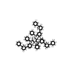 CC/C(=C(C)\C(=C(\C)CN(c1ccccc1)c1cccc(-c2cccc(-c3ccccc3)n2)c1)N(c1ccccc1)c1cccc(-c2cccc(-c3ccccc3)n2)c1)N(c1ccccc1)c1cccc(-c2cccc(-c3ccccc3)n2)c1